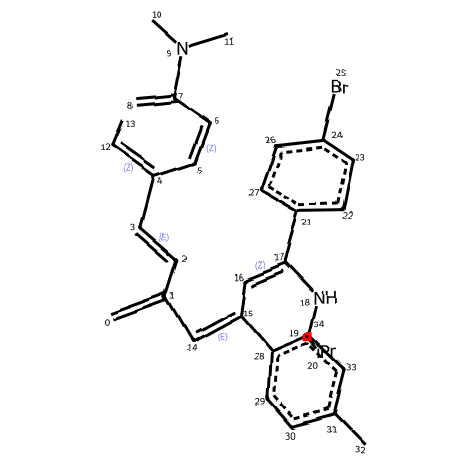 C=C(/C=C/C(/C=C\C(=C)N(C)C)=C/C)/C=C(\C=C(/NCC(C)C)c1ccc(Br)cc1)c1ccc(C)cc1